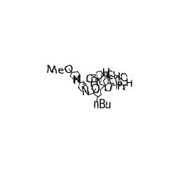 CCCCC1CC(C23C[C@@H]4[C@H](C)CC[C@H]4C4(C=O)CC2C=C(C(C)C)C34C(=O)O)OC1CN1CCC(N2CCC(OC)CC2)CC1